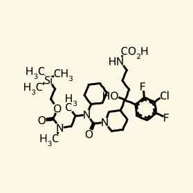 CC(CN(C)C(=O)OCC[Si](C)(C)C)N(C(=O)N1CCCC(C(O)(CCCNC(=O)O)c2ccc(F)c(Cl)c2F)C1)C1CCCCC1